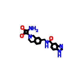 Nc1c(N2CCc3ccc(CNC(=O)c4ccc5[nH]cnc5c4)cc3C2)c(=O)c1=O